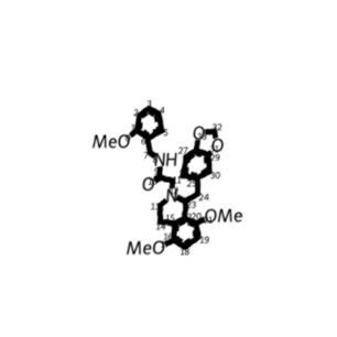 COc1ccccc1CNC(=O)CN1CCc2c(OC)ccc(OC)c2C1Cc1ccc2c(c1)OCO2